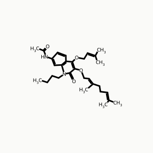 CCCCn1c(=O)c(OC/C=C(\C)CCC=C(C)C)c(OCC=C(C)C)c2ccc(NC(C)=O)cc21